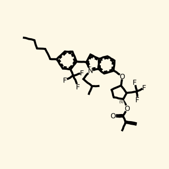 C=C(C)C(=O)O[C@H]1CCC(Oc2ccc3cc(-c4ccc(CCCCC)cc4C(F)(F)F)n(CC(C)C)c3c2)C1C(F)(F)F